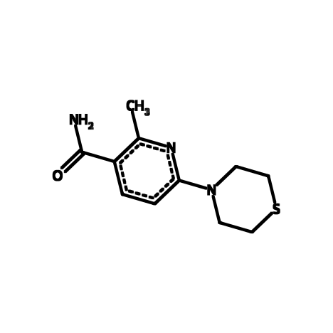 Cc1nc(N2CCSCC2)ccc1C(N)=O